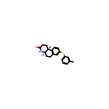 Cc1cccc(Sc2ccc3c(c2)CC[C@H]2NC(=O)CC[C@]32C)c1